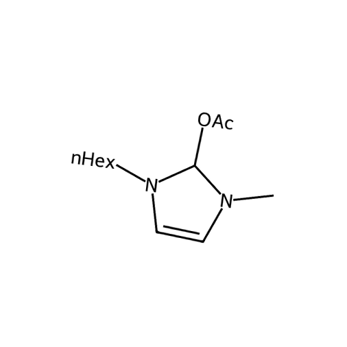 CCCCCCN1C=CN(C)C1OC(C)=O